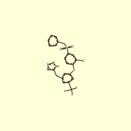 O=S(=O)(Cc1ccccc1)c1ccc(Oc2cc(Cc3nnn[nH]3)cc(C(F)(F)F)c2)c(Cl)c1